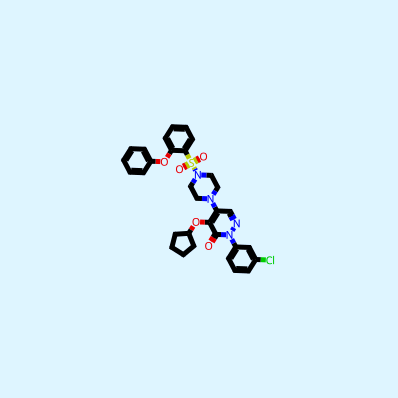 O=c1c(OC2CCCC2)c(N2CCN(S(=O)(=O)c3ccccc3Oc3ccccc3)CC2)cnn1-c1cccc(Cl)c1